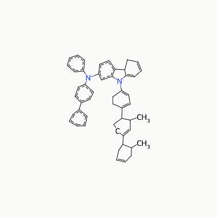 CC1C=C(C2CC=CCC2C)CCC1C1=CC=C(N2C3=CC=CCC3c3ccc(N(c4ccccc4)c4ccc(-c5ccccc5)cc4)cc32)CC1